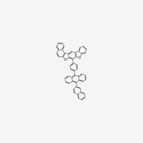 c1ccc2cc(-c3c4ccccc4c(-c4ccc(-c5c6oc7ccccc7c6cc6c5oc5ccc7ccccc7c56)cc4)c4ccccc34)ccc2c1